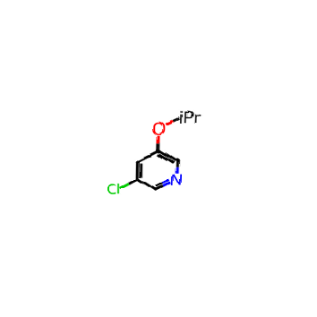 CC(C)Oc1cncc(Cl)c1